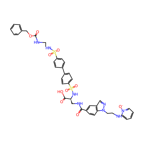 O=C(NCCNS(=O)(=O)c1ccc(-c2ccc(S(=O)(=O)N[C@@H](CNC(=O)c3ccc4c(cnn4CCNc4cccc[n+]4[O-])c3)C(=O)O)cc2)cc1)OCc1ccccc1